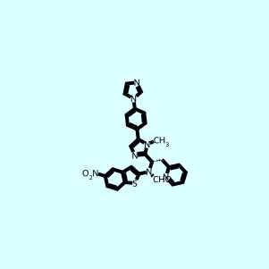 Cn1c(-c2ccc(-n3ccnc3)cc2)cnc1[C@H](Cc1ccccn1)N(C=O)c1cc2cc([N+](=O)[O-])ccc2s1